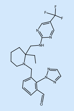 CCC1(CNc2ncc(C(F)(F)F)cn2)CCCCN1Cc1cccc(C=O)c1-n1nccn1